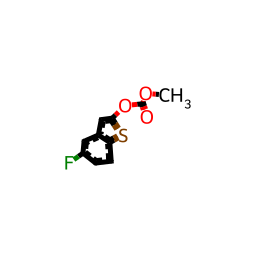 COC(=O)Oc1cc2cc(F)ccc2s1